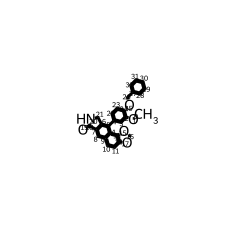 COc1cc(-c2c3c(cc4ccc5c(c24)OCO5)C(=O)NC3)ccc1OCc1ccccc1